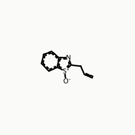 C=CCc1nc2ccccc2[s+]1[O-]